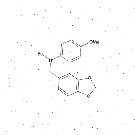 CCN(Cc1ccc2c(c1)OCO2)c1ccc(OC)cc1